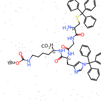 CC(C)(C)OC(=O)NCCCC[C@H](NC(=O)[C@H](Cc1cn(C(c2ccccc2)(c2ccccc2)c2ccccc2)cn1)NC(=O)CNC(=O)[C@@H](N)CSC(c1ccccc1)(c1ccccc1)c1ccccc1)C(=O)O